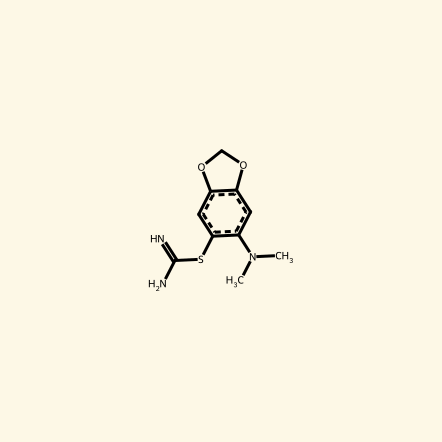 CN(C)c1cc2c(cc1SC(=N)N)OCO2